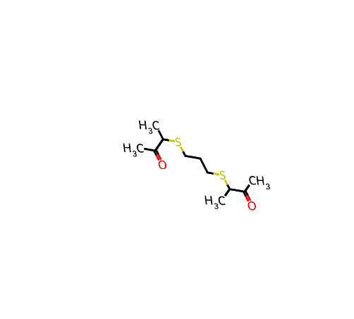 CC(=O)C(C)SCCCSC(C)C(C)=O